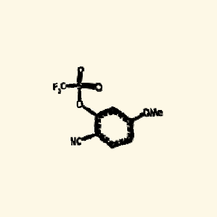 COc1ccc(C#N)c(OS(=O)(=O)C(F)(F)F)c1